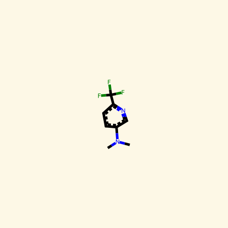 CN(C)c1ccc(C(F)(F)F)nc1